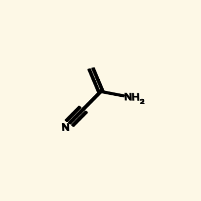 C=C(N)C#N